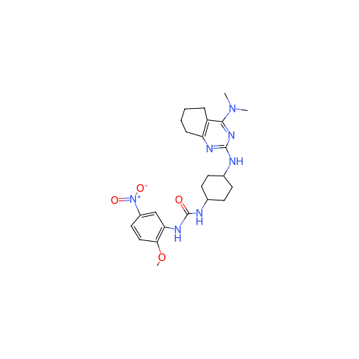 COc1ccc([N+](=O)[O-])cc1NC(=O)NC1CCC(Nc2nc3c(c(N(C)C)n2)CCCC3)CC1